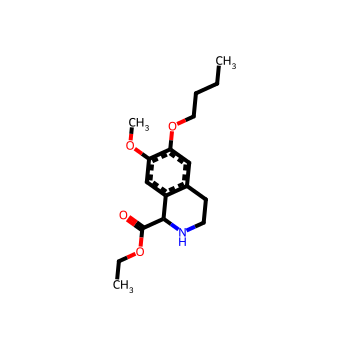 CCCCOc1cc2c(cc1OC)C(C(=O)OCC)NCC2